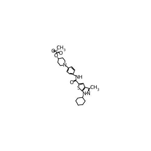 Cc1nn(C2CCCCC2)c2sc(C(=O)Nc3ccc(N4CCC(OS(C)(=O)=O)CC4)cc3)cc12